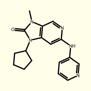 Cn1c(=O)n(C2CCCC2)c2cc(Nc3cccnc3)ncc21